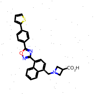 O=C(O)C1CN(Cc2ccc(-c3noc(-c4ccc(-c5cccs5)cc4)n3)c3ccccc23)C1